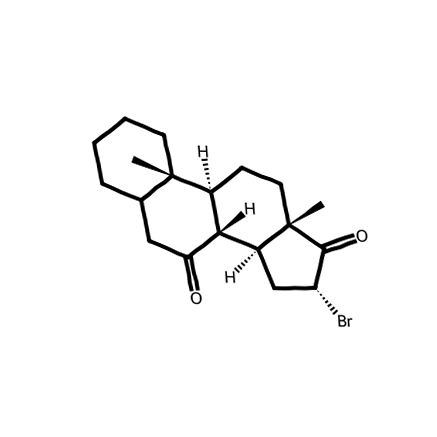 C[C@]12CCCCC1CC(=O)[C@@H]1[C@@H]2CC[C@]2(C)C(=O)[C@H](Br)C[C@@H]12